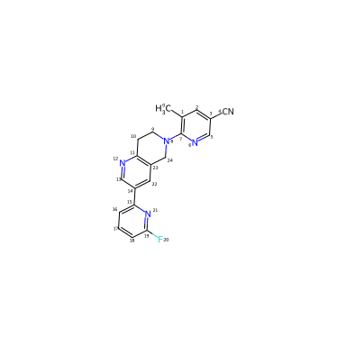 Cc1cc(C#N)cnc1N1CCc2ncc(-c3cccc(F)n3)cc2C1